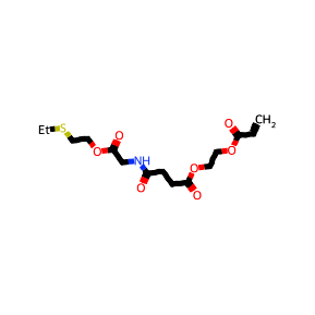 C=CC(=O)OCCOC(=O)CCC(=O)NCC(=O)OCCSCC